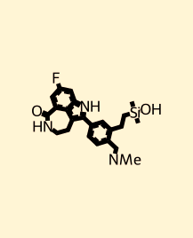 CNCc1ccc(-c2[nH]c3cc(F)cc4c3c2CCNC4=O)cc1CC[Si](C)(C)O